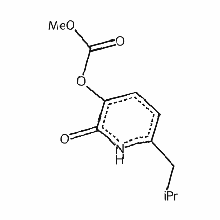 COC(=O)Oc1ccc(CC(C)C)[nH]c1=O